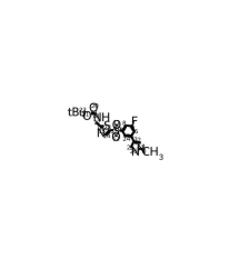 Cn1cc(-c2cc(F)cc(S(=O)(=O)c3cnc(CNC(=O)OC(C)(C)C)s3)c2)cn1